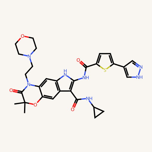 CC1(C)Oc2cc3c(C(=O)NC4CC4)c(NC(=O)c4ccc(-c5cn[nH]c5)s4)[nH]c3cc2N(CCN2CCOCC2)C1=O